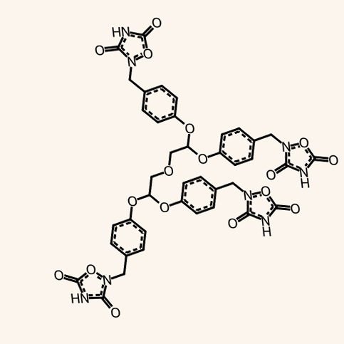 O=c1[nH]c(=O)n(Cc2ccc(OC(COCC(Oc3ccc(Cn4oc(=O)[nH]c4=O)cc3)Oc3ccc(Cn4oc(=O)[nH]c4=O)cc3)Oc3ccc(Cn4oc(=O)[nH]c4=O)cc3)cc2)o1